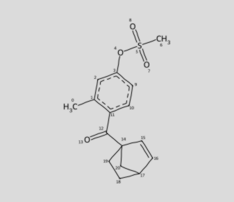 Cc1cc(OS(C)(=O)=O)ccc1C(=O)C12C=CC(CC1)C2